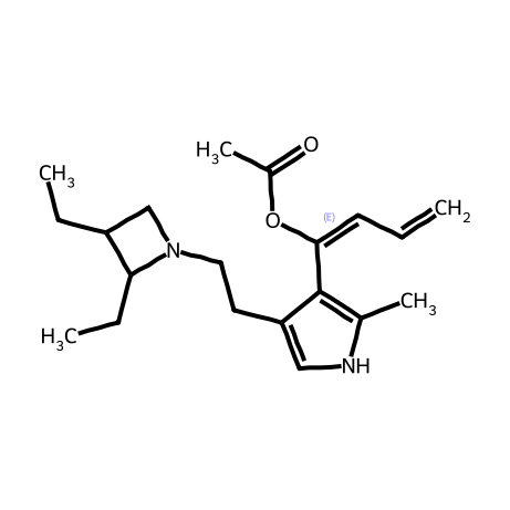 C=C/C=C(/OC(C)=O)c1c(CCN2CC(CC)C2CC)c[nH]c1C